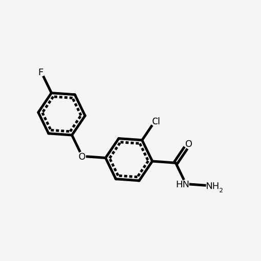 NNC(=O)c1ccc(Oc2ccc(F)cc2)cc1Cl